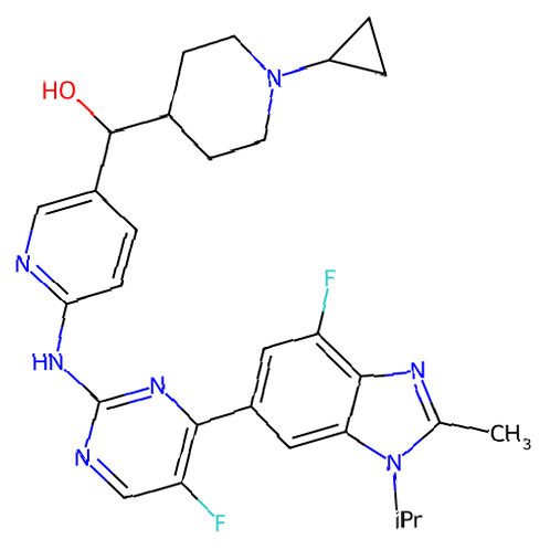 Cc1nc2c(F)cc(-c3nc(Nc4ccc(C(O)C5CCN(C6CC6)CC5)cn4)ncc3F)cc2n1C(C)C